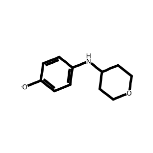 [O]c1ccc(NC2CCOCC2)cc1